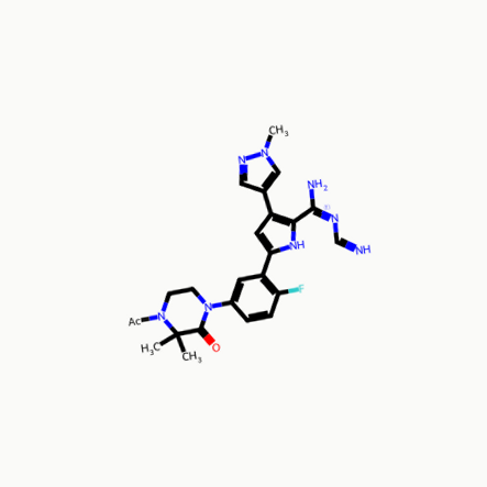 CC(=O)N1CCN(c2ccc(F)c(-c3cc(-c4cnn(C)c4)c(/C(N)=N\C=N)[nH]3)c2)C(=O)C1(C)C